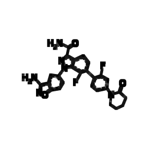 NC(=O)c1nn(-c2ccc3onc(N)c3c2)c2c(F)c(-c3ccc(N4CCCCC4=O)cc3F)ccc12